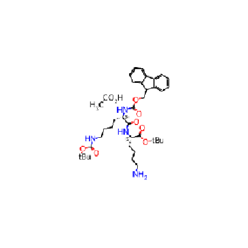 CC(=O)O.CC(C)(C)OC(=O)NCCCC[C@H](NC(=O)OCC1c2ccccc2-c2ccccc21)C(=O)N[C@@H](CCCCN)C(=O)OC(C)(C)C